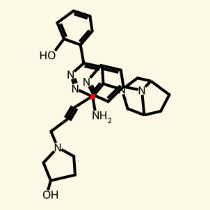 Nc1nnc(-c2ccccc2O)cc1N1CC2CCC(C1)N2c1ccnc(C#CCN2CCC(O)C2)c1